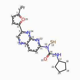 CC(C)c1ccc(-c2cnc3ccc(N(S)C(=O)NC4CCCC4)nc3n2)o1